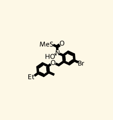 CCc1ccc(OCc2cc(Br)ccc2N(O)C(=O)SC)c(C)c1